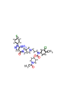 CC(=O)N1CCC(OC(=O)N(CCCN2CC3CN(C(=O)c4cnn(-c5ccc(F)cc5)c4N)CC3C2)c2ccc(C)c(Cl)c2)CC1